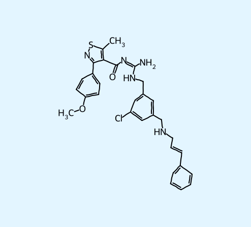 COc1ccc(-c2nsc(C)c2C(=O)N=C(N)NCc2cc(Cl)cc(CNC/C=C/c3ccccc3)c2)cc1